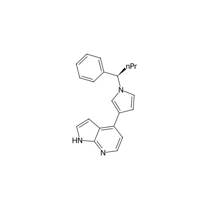 CCC[C@H](c1ccccc1)n1ccc(-c2ccnc3[nH]ccc23)c1